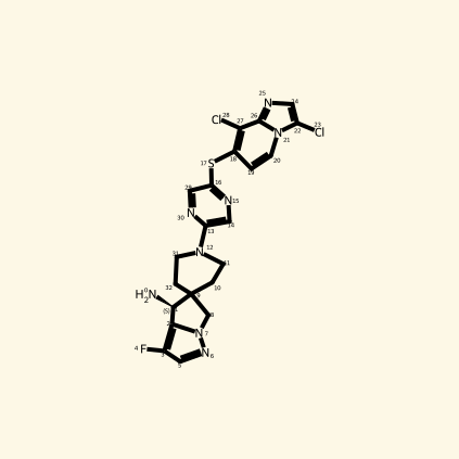 N[C@@H]1c2c(F)cnn2CC12CCN(c1cnc(Sc3ccn4c(Cl)cnc4c3Cl)cn1)CC2